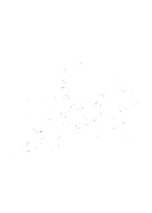 C#Cc1c(F)ccc2c1[C@@H](c1ncc3c(NCC4(N(C)C(=O)C=C)CCCC4)nc(OC[C@]4(C)C[C@@H](F)CN4C4CCOCC4)nc3c1F)C[C@@H](O)C2